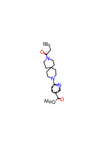 COC(=O)c1ccc(N2CCC3(CCN(C(=O)CC(C)(C)C)CC3)CC2)nc1